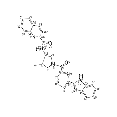 CC1CN(C(=O)c2cccc(-c3nc4ccccc4[nH]3)n2)CC1NC(=O)c1ccc2ccccc2n1